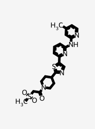 Cc1ccnc(Nc2cccc(-c3cnc(C4CCN(C(=O)CS(C)(=O)=O)CC4)s3)n2)c1